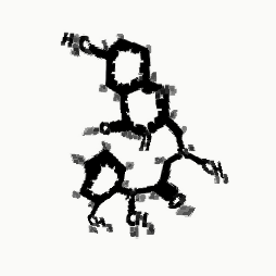 Cc1ccc2nc(CN(C)CC(=O)N(C)c3ccccc3C)[nH]c(=O)c2c1